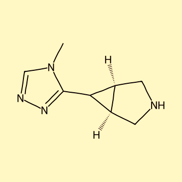 Cn1cnnc1C1[C@H]2CNC[C@@H]12